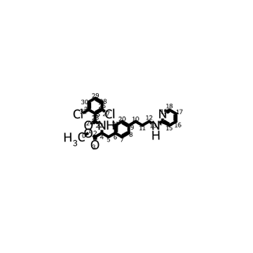 COC(=O)C(Cc1ccc(CCCNc2ccccn2)cc1)NC(=O)c1c(Cl)cccc1Cl